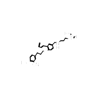 CC(C)Oc1ccc(CCCOc2ccc(CNCCCO[PH](=O)O)cc2-c2ccco2)cc1C#N